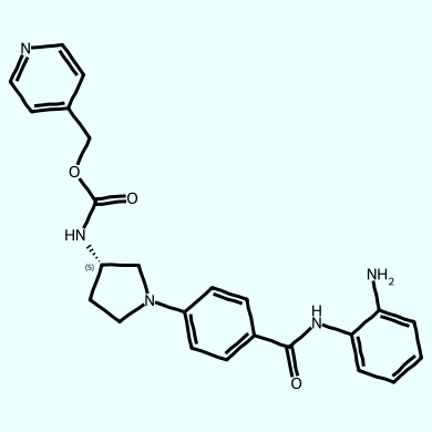 Nc1ccccc1NC(=O)c1ccc(N2CC[C@H](NC(=O)OCc3ccncc3)C2)cc1